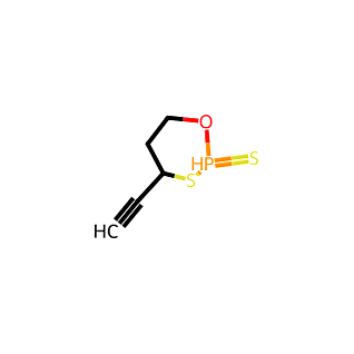 C#CC1CCO[PH](=S)S1